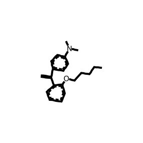 C=C(c1ccc(N(C)C)cc1)c1ccccc1OCCCCC